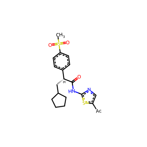 CC(=O)c1cnc(NC(=O)[C@H](CC2CCCC2)c2ccc(S(C)(=O)=O)cc2)s1